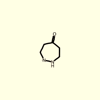 O=C1CC[N]NCC1